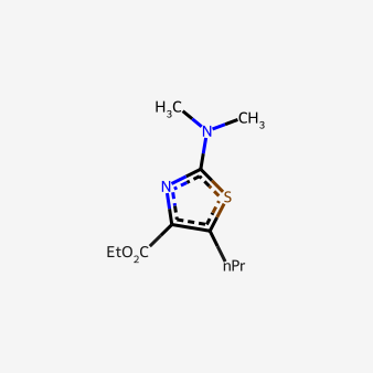 CCCc1sc(N(C)C)nc1C(=O)OCC